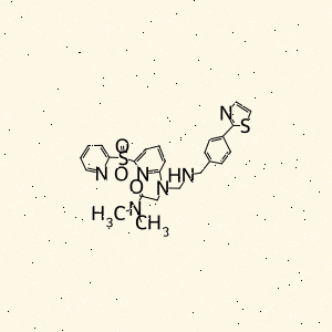 CN(C)C(=O)CN(CNCc1ccc(-c2nccs2)cc1)c1cccc(S(=O)(=O)c2ccccn2)n1